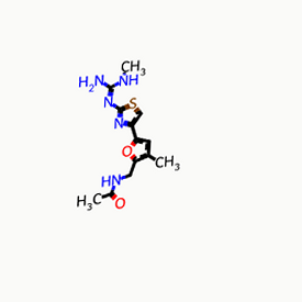 CNC(N)=Nc1nc(-c2cc(C)c(CNC(C)=O)o2)cs1